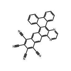 N#Cc1c(C#N)c(C#N)c2cc3c(cc2c1C#N)c1nccnc1c1c2ccccc2c2ccccc2c31